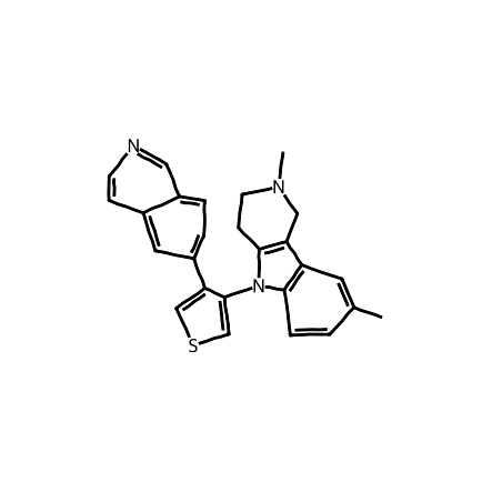 Cc1ccc2c(c1)c1c(n2-c2cscc2-c2ccc3cnccc3c2)CCN(C)C1